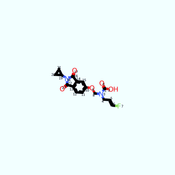 O=C(O)N(CC=CF)COc1ccc2c(c1)C(=O)N(C1CC1)C2=O